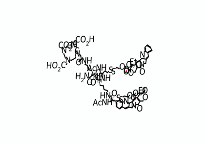 CC[C@]1(OC(=O)OCCSSCC(NC(C)=O)C(=O)N[C@@H](CCCCNC(=O)[C@@H](CSSCCOC(=O)O[C@]2(CC)C(=O)OCc3c2cc2n(c3=O)Cc3cc4ccccc4nc3-2)NC(C)=O)C(=O)N[C@H](CCCCNC(=O)CN2CCN(CC(=O)O)CCN(CC(=O)O)CCN(CC(=O)O)CC2)C(N)=O)C(=O)OCc2c1cc1n(c2=O)Cc2cc3ccccc3nc2-1